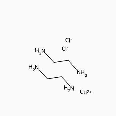 NCCN.NCCN.[Cl-].[Cl-].[Cu+2]